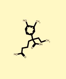 CCCC(CCCC(=O)O)(C(=O)O)c1ccc(O)c(C)c1